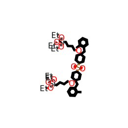 CCO[Si](CCCCOC1(Cc2ccccc2C)C=CC(S(=O)(=O)C2C=CC(Cc3ccccc3C)(OCCCC[Si](OCC)(OCC)OCC)C=C2)C=C1)(OCC)OCC